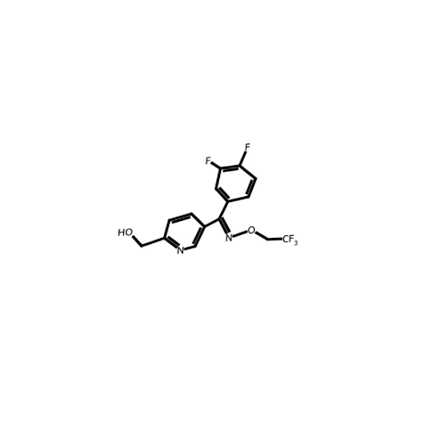 OCc1ccc(/C(=N/OCC(F)(F)F)c2ccc(F)c(F)c2)cn1